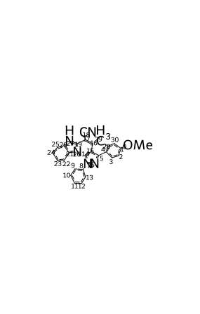 COc1ccc(-c2nn(-c3ccccc3)cc2/C=C(/C#N)c2nc3ccccc3[nH]2)c(C)c1